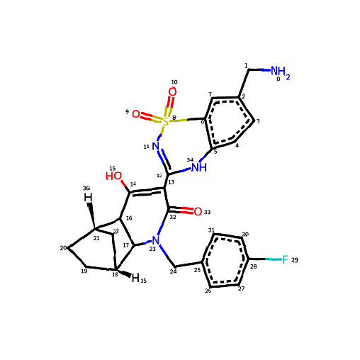 NCc1ccc2c(c1)S(=O)(=O)N=C(C1=C(O)C3C([C@@H]4CC[C@H]3C4)N(Cc3ccc(F)cc3)C1=O)N2